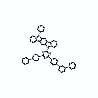 c1ccc(-c2ccc(-c3nc(-c4ccc(-c5cccc(-c6ccccc6)c5)cc4)nc(-n4c5ccccc5c5cc6c(cc54)c4ccccc4n6-c4ccccc4)n3)cc2)cc1